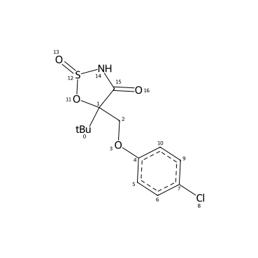 CC(C)(C)C1(COc2ccc(Cl)cc2)OS(=O)NC1=O